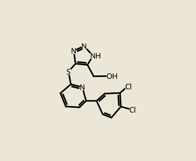 OCc1[nH]nnc1Sc1cccc(-c2ccc(Cl)c(Cl)c2)n1